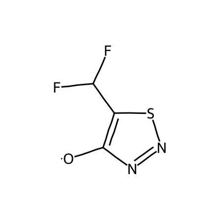 [O]c1nnsc1C(F)F